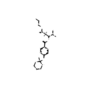 CCCOC(=O)C(F)(F)C(OC(=O)c1ccc(OC2(C)CCCCC2)cc1)C(C)C